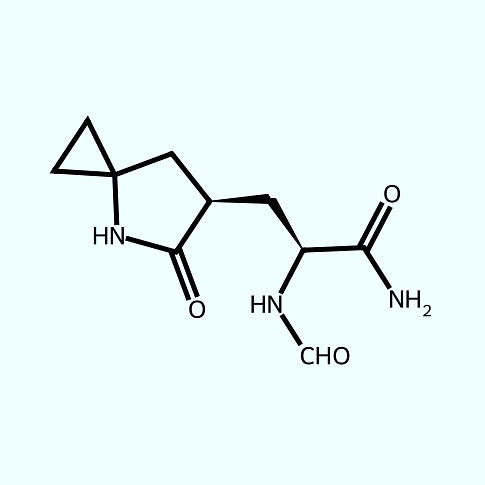 NC(=O)[C@H](C[C@@H]1CC2(CC2)NC1=O)NC=O